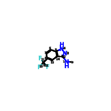 CNc1n[nH]c2ccc(C(F)(F)F)cc12